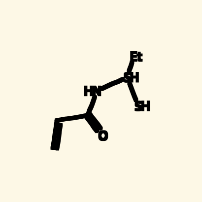 C=CC(=O)N[SH](S)CC